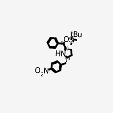 CC(C)(C)[Si](C)(C)O[C@H](c1ccccc1)[C@H]1CC[C@H](Cc2ccc([N+](=O)[O-])cc2)N1